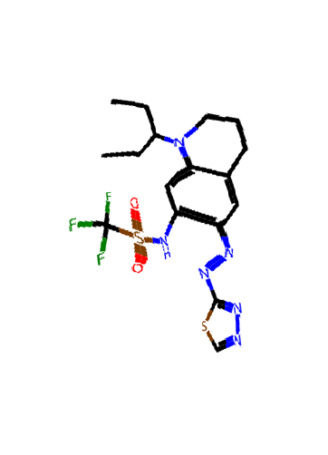 CCC(CC)N1CCCc2cc(N=Nc3nncs3)c(NS(=O)(=O)C(F)(F)F)cc21